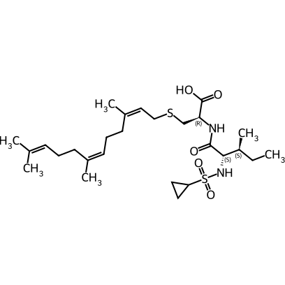 CC[C@H](C)[C@H](NS(=O)(=O)C1CC1)C(=O)N[C@@H](CSCC=C(C)CCC=C(C)CCC=C(C)C)C(=O)O